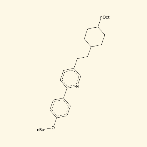 CCCCCCCCC1CCC(CCc2ccc(-c3ccc(OCCCC)cc3)nc2)CC1